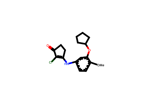 COc1ccc(NC2=C(Cl)C(=O)CC2)cc1OC1CCCC1